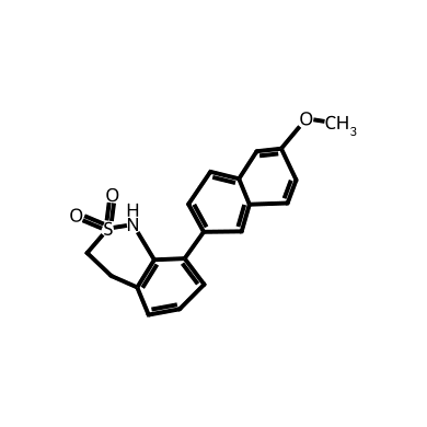 COc1ccc2cc(-c3cccc4c3NS(=O)(=O)CC4)ccc2c1